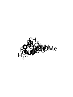 COC(=O)Nc1nc(C)c(S(=O)(=O)N2CCN(C[C@H](C)NC(=O)c3cc(-c4sc(C)nc4C)ccc3F)CC2)s1